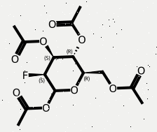 CC(=O)OC[C@H]1OC(OC(C)=O)[C@@H](F)[C@@H](OC(C)=O)[C@@H]1OC(C)=O